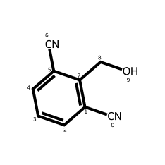 N#Cc1cccc(C#N)c1CO